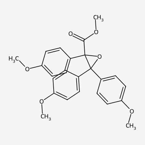 COC(=O)C1(c2ccc(OC)cc2)OC1(c1ccc(OC)cc1)c1ccc(OC)cc1